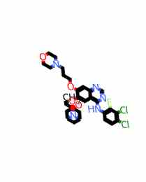 C=CC(=O)N1C2CC(Oc3cc4c(Nc5ccc(Cl)c(Cl)c5F)ncnc4cc3OCCCN3CCOCC3)CC1C2